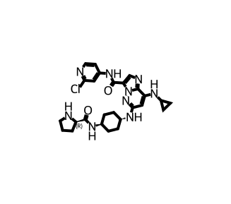 O=C(Nc1ccnc(Cl)c1)c1cnc2c(NC3CC3)cc(N[C@H]3CC[C@H](NC(=O)[C@H]4CCCN4)CC3)nn12